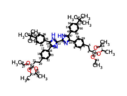 CCO[Si](CCc1ccc(-c2nc(-c3nc(-c4ccc(CC[Si](OCC)(OCC)OCC)cc4)c(-c4ccc(C(C)(C)C)cc4)[nH]3)[nH]c2-c2ccc(C(C)(C)C)cc2)cc1)(OCC)OCC